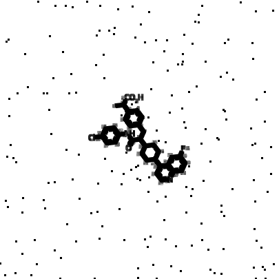 CC(C(=O)O)c1ccc(CC(C(=O)Nc2ccc(Cl)cc2)C2CCC(c3ccnc4ccc(F)cc34)CC2)cc1